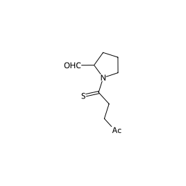 CC(=O)CCC(=S)N1CCCC1C=O